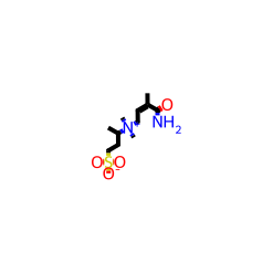 CC(=CC[N+](C)(C)C(C)CCS(=O)(=O)[O-])C(N)=O